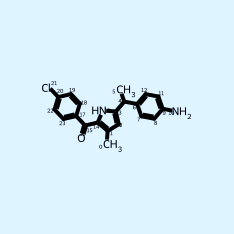 Cc1cc(C(C)c2ccc(N)cc2)[nH]c1C(=O)c1ccc(Cl)cc1